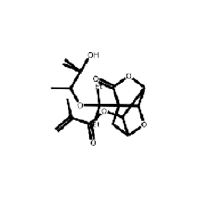 C=C(C)C(=O)OC1C2CC3(C(CC)(CC)OC(C)C(C)(C)O)C(=O)OC1C3O2